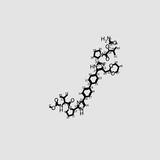 COC(=O)NC(C(=O)N1CCCC1c1nc(-c2ccc(-c3ccc(-c4[nH]c([C@@H]5CCCN5C(=O)[C@@H](OC(N)=O)C(C)C)nc4CC4OCCCO4)cc3)cc2)c[nH]1)C(C)C